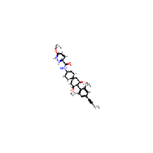 CC#Cc1cc(C)c(C2C(=O)CC3(CCC(NC(=O)c4ccc(OC)nn4)CC3)CC2=O)c(C)c1